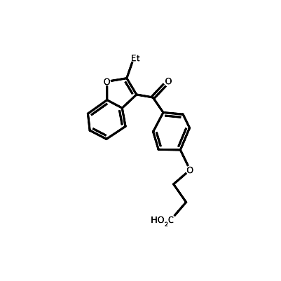 CCc1oc2ccccc2c1C(=O)c1ccc(OCCC(=O)O)cc1